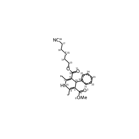 COC(=O)C1=C(C)NC(C)=C(C(=O)OCCSCCC#N)C1c1ccccc1